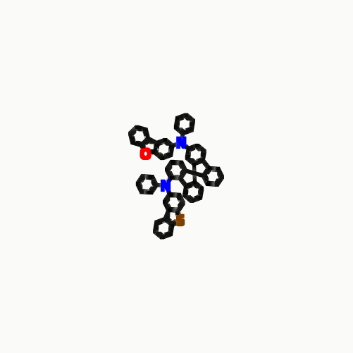 c1ccc(N(c2ccc3c(c2)C2(c4ccccc4-3)c3ccccc3-c3c(N(c4ccccc4)c4ccc5sc6ccccc6c5c4)cccc32)c2ccc3oc4ccccc4c3c2)cc1